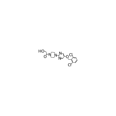 O=C(CO)N1CCN(c2ncc(OCc3c(Cl)cccc3Cl)cn2)CC1